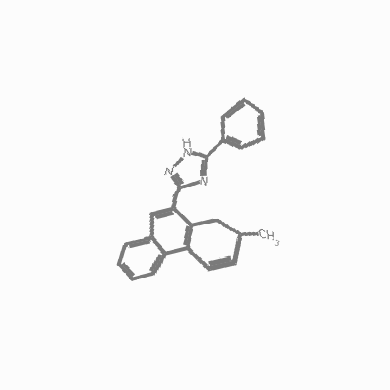 CC1C=Cc2c(c(-c3n[nH]c(-c4ccccc4)n3)cc3ccccc23)C1